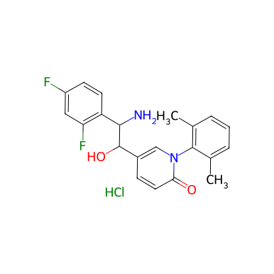 Cc1cccc(C)c1-n1cc(C(O)C(N)c2ccc(F)cc2F)ccc1=O.Cl